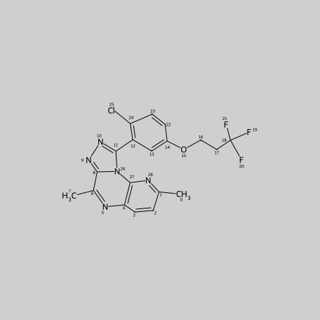 Cc1ccc2nc(C)c3nnc(-c4cc(OCCC(F)(F)F)ccc4Cl)n3c2n1